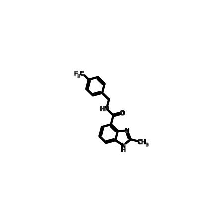 Cc1nc2c(C(=O)NCc3ccc(C(F)(F)F)cc3)cccc2[nH]1